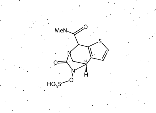 CNC(=O)C1c2sccc2[C@H]2CN1C(=O)N2OS(=O)(=O)O